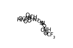 Cn1c(=O)n(C2CCC(=O)NC2=O)c2cccc(C3CN(C[C@H]4CC[C@H](n5cc6cc(NC(=O)c7cccc(C(F)(F)F)n7)ccc6n5)CC4)C3)c21